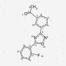 CC(=O)c1cccc(-c2noc(-c3ccccc3F)n2)c1